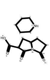 C1CCNCC1.O=C(O)C1CC2CCC(=O)N2C1=O